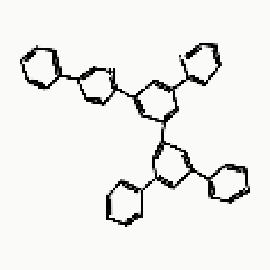 c1ccc(-c2ccc(-c3cc(-c4cc(-c5ccccc5)cc(-c5ccccc5)c4)cc(-c4ccccn4)c3)nc2)cc1